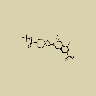 CC[C@@H]1Cc2c(F)cc(C(=O)O)cc2CN1C1CC2(CCN(C(=O)OC(C)(C)C)CC2)C1